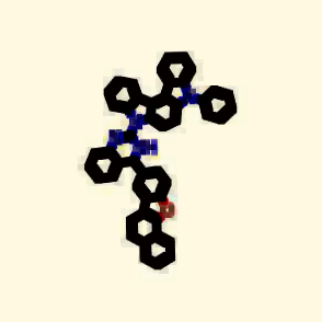 c1ccc(-n2c3ccccc3c3c4c5ccccc5n(C5=Nc6ccccc6C(c6ccc7oc8c9ccccc9ccc8c7c6)N5)c4ccc32)cc1